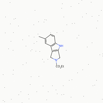 CCOC(=O)N1Cc2[nH]c3ccc(C)cc3c2C1